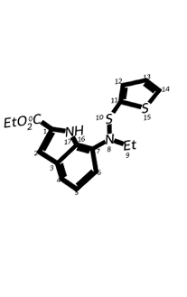 CCOC(=O)c1cc2cccc(N(CC)Sc3cccs3)c2[nH]1